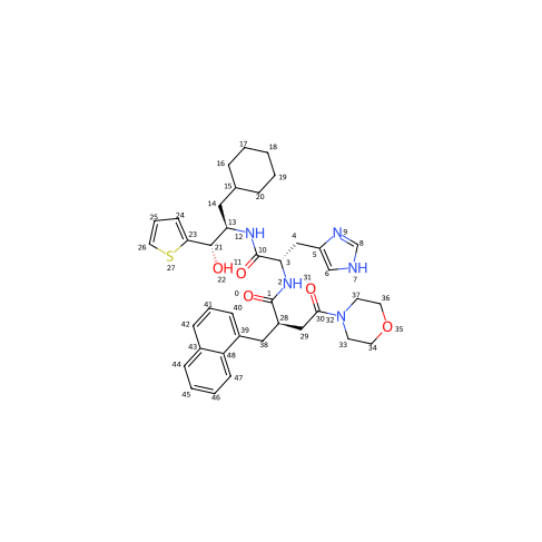 O=C(N[C@@H](Cc1c[nH]cn1)C(=O)N[C@H](CC1CCCCC1)[C@H](O)c1cccs1)[C@@H](CC(=O)N1CCOCC1)Cc1cccc2ccccc12